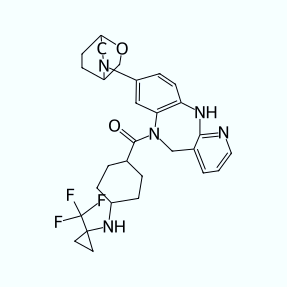 O=C(C1CCC(NC2(C(F)(F)F)CC2)CC1)N1Cc2cccnc2Nc2ccc(N3CC4CCC3CO4)cc21